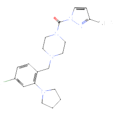 CC(=O)Nc1ccn(C(=O)N2CCN(Cc3ccc(Cl)cc3N3CCCC3)CC2)n1